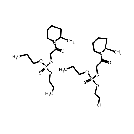 CCCOP(=S)(OCCC)SCC(=O)N1CCCCC1C.CCCOP(=S)(OCCC)SCC(=O)N1CCCCC1C